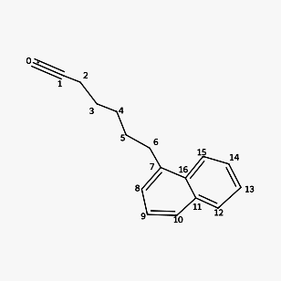 [C]#CCCCCCc1cccc2ccccc12